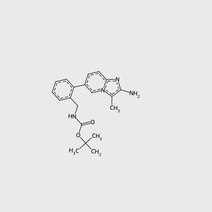 Cc1c(N)nc2ccc(-c3ccccc3CNC(=O)OC(C)(C)C)cn12